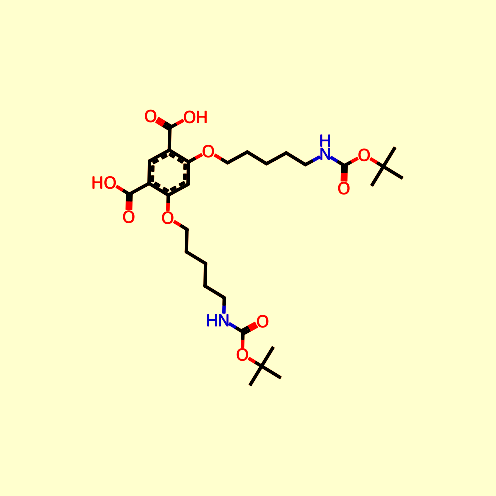 CC(C)(C)OC(=O)NCCCCCOc1cc(OCCCCCNC(=O)OC(C)(C)C)c(C(=O)O)cc1C(=O)O